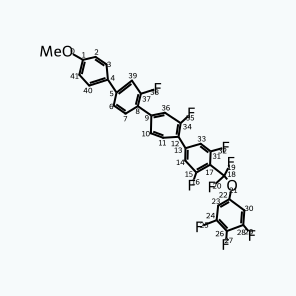 COc1ccc(-c2ccc(-c3ccc(-c4cc(F)c(C(F)(F)Oc5cc(F)c(F)c(F)c5)c(F)c4)c(F)c3)c(F)c2)cc1